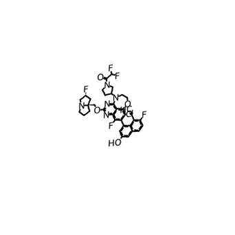 C#Cc1c(F)ccc2cc(O)cc(-c3c(Cl)c4c5c(nc(OC[C@@]67CCCN6C[C@H](F)C7)nc5c3F)N(C3CCN(C(=O)C(F)F)C3)CCO4)c12